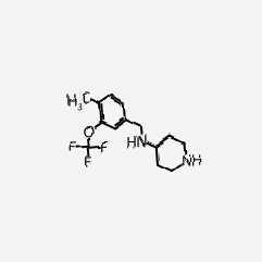 Cc1ccc(CNC2CCNCC2)cc1OC(F)(F)F